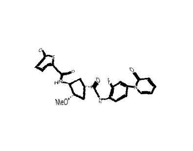 CO[C@H]1C[C@@H](C(=O)Nc2ccc(-n3ccccc3=O)cc2F)C[C@@H]1NC(=O)c1ccc(Cl)s1